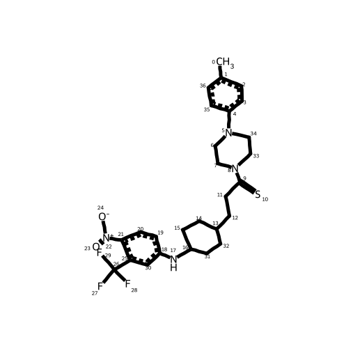 Cc1ccc(N2CCN(C(=S)CCC3CCC(Nc4ccc([N+](=O)[O-])c(C(F)(F)F)c4)CC3)CC2)cc1